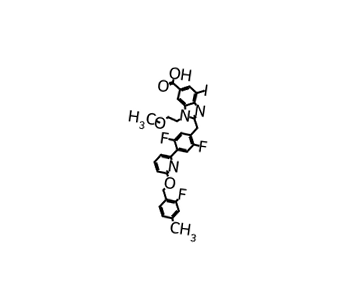 COCCn1c(Cc2cc(F)c(-c3cccc(OCc4ccc(C)cc4F)n3)cc2F)nc2c(I)cc(C(=O)O)cc21